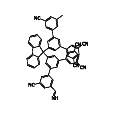 Cc1cc(C#N)cc(-c2cc(-c3cc(C#N)cc(C#N)c3)cc(C3(c4cc(-c5cc(C#N)cc(C#N)c5)cc(-c5cc(C#N)cc(C=N)c5)c4)c4ccccc4-c4ccccc43)c2)c1